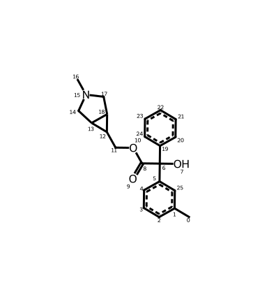 Cc1cccc(C(O)(C(=O)OCC2C3CN(C)CC23)c2ccccc2)c1